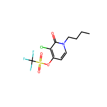 CCCCn1ccc(OS(=O)(=O)C(F)(F)F)c(Cl)c1=O